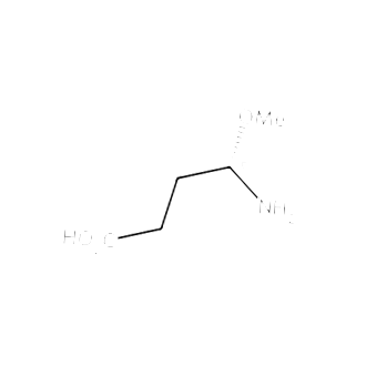 CO[C@H](N)CCC(=O)O